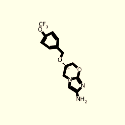 Nc1cn2c(n1)OC[C@@H](OCc1ccc(OC(F)(F)F)cc1)C2